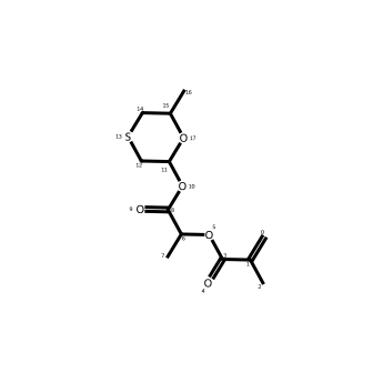 C=C(C)C(=O)OC(C)C(=O)OC1CSCC(C)O1